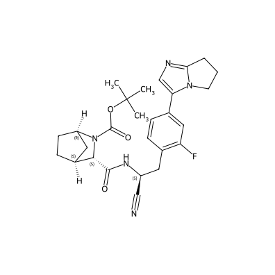 CC(C)(C)OC(=O)N1[C@@H]2CC[C@@H](C2)[C@H]1C(=O)N[C@H](C#N)Cc1ccc(-c2cnc3n2CCC3)cc1F